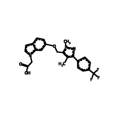 Cc1c(-c2ccc(C(F)(F)F)cc2)nn(C)c1COc1ccc2ccn(CC(=O)O)c2c1